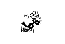 CC(C)(C)OC(=O)n1cc(-c2ccc3c(c2)C(C2CC2)NS3(O)O)c2ccc(F)cc21